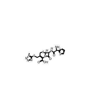 Cn1nnnc1SCC1=C(C(=O)O)N2C(=O)C(NC(=O)C(N)c3cccs3)[C@@H]2SC1